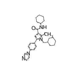 Cc1c(C(=O)NC2CCCCC2)cc(-c2ccc(-n3ccnc3)cc2)n1CC1CCCCC1